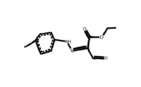 CCOC(=O)C(C=O)=NNc1ccc(C)cc1